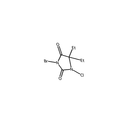 CCC1(CC)C(=O)N(Br)C(=O)N1Cl